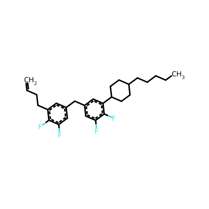 C=CCCc1cc(Cc2cc(F)c(F)c(C3CCC(CCCCC)CC3)c2)cc(F)c1F